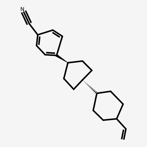 C=CC1CCC([C@H]2CC[C@H](c3ccc(C#N)cc3)CC2)CC1